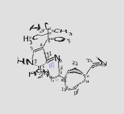 C=C1NC=C(C(=O)C(C)(C)C)/C1=N/C(=C\N)c1cccc(C#N)c1